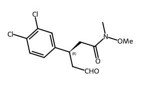 CON(C)C(=O)C[C@@H](CC=O)c1ccc(Cl)c(Cl)c1